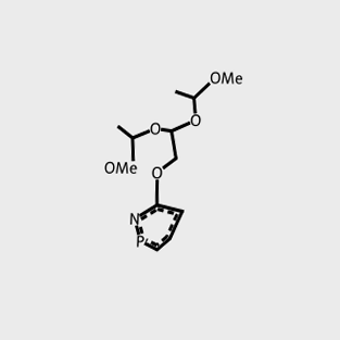 COC(C)OC(COc1cccpn1)OC(C)OC